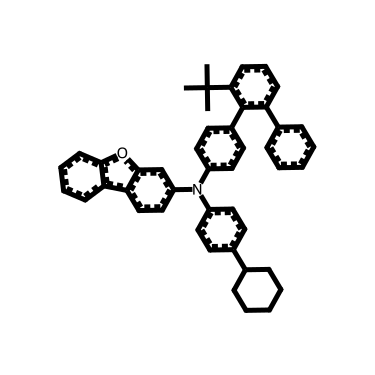 CC(C)(C)c1cccc(-c2ccccc2)c1-c1ccc(N(c2ccc(C3CCCCC3)cc2)c2ccc3c(c2)oc2ccccc23)cc1